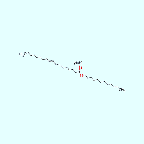 CCCCCCCCC=CCCCCCCCC(=O)OCCCCCCCCCCCC.[NaH]